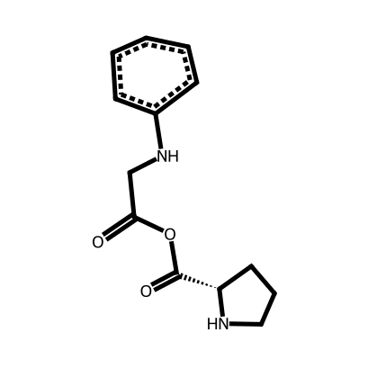 O=C(CNc1ccccc1)OC(=O)[C@@H]1CCCN1